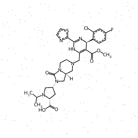 COC(=O)C1=C(CN2CCN3C(=O)N([C@@H]4C[C@H](C(=O)O)N(C(C)C)C4)C[C@@H]3C2)NC(c2nccs2)=N[C@H]1c1ccc(F)cc1Cl